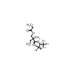 CCC(=O)OCC(C)(CC)C(=O)OC(C(F)(F)F)C(F)(F)F